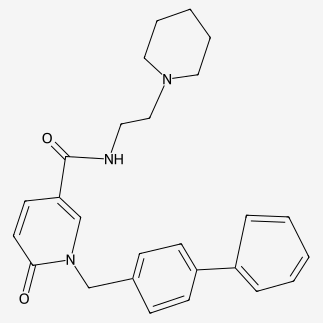 O=C(NCCN1CCCCC1)c1ccc(=O)n(Cc2ccc(-c3ccccc3)cc2)c1